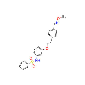 CCON=Cc1ccc(CCOc2cccc(NS(=O)(=O)c3ccccc3)c2)cc1